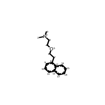 CN(C)CCOCCc1cccc2ccccc12